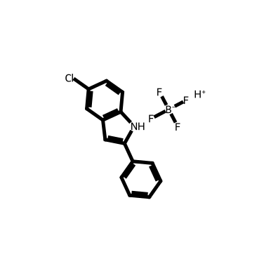 Clc1ccc2[nH]c(-c3ccccc3)cc2c1.F[B-](F)(F)F.[H+]